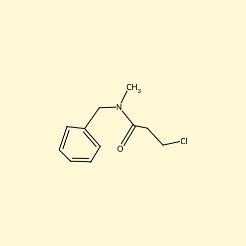 CN(Cc1ccccc1)C(=O)CCCl